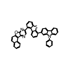 c1ccc(-n2c3ccccc3c3ccc(-c4cccc5c4sc4cccc(-c6cnc7c(n6)oc6ccc8ccccc8c67)c45)cc32)cc1